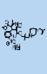 C=C(C)CN1CCCN(CC(C)(C)COC(=O)C2=C(C)NC(C)=C(C(=O)OC)C2c2cccc([N+](=O)[O-])c2)CC1.Cl.Cl